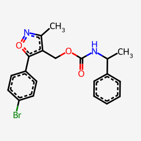 Cc1noc(-c2ccc(Br)cc2)c1COC(=O)NC(C)c1ccccc1